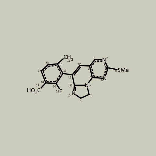 CSc1ncc2c(n1)N1CCN=C1C(c1c(C)ccc(C(=O)O)c1F)=C2